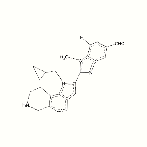 Cn1c(-c2cc3ccc4c(c3n2CC2CC2)CCNC4)nc2cc(C=O)cc(F)c21